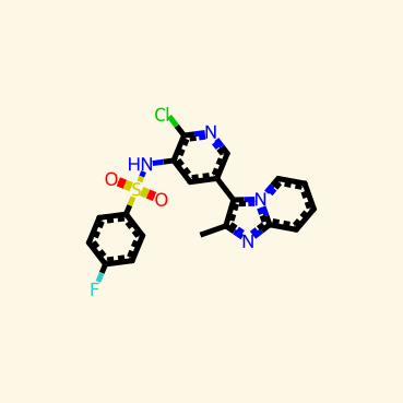 Cc1nc2ccccn2c1-c1cnc(Cl)c(NS(=O)(=O)c2ccc(F)cc2)c1